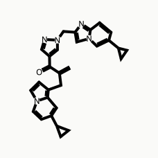 C=C(Cc1ccn2ccc(C3CC3)cc12)C(=O)c1cnn(Cc2cn3cc(C4CC4)ccc3n2)c1